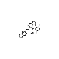 COc1ccc(F)c(-c2cccc3cnn(CCc4ccc5ccccc5n4)c(=O)c23)c1